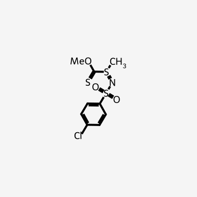 COC(=S)S(C)=NS(=O)(=O)c1ccc(Cl)cc1